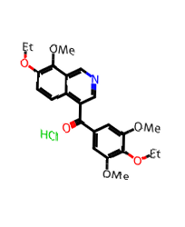 CCOc1ccc2c(C(=O)c3cc(OC)c(OCC)c(OC)c3)cncc2c1OC.Cl